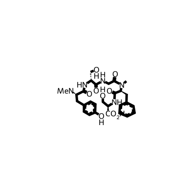 CN[C@@H](Cc1ccc(O)cc1)C(=O)N[C@H](CO)C(=O)NCC(=O)N(C)[C@@H](Cc1ccccc1)C(=O)N[C@H](CO)C(=O)O